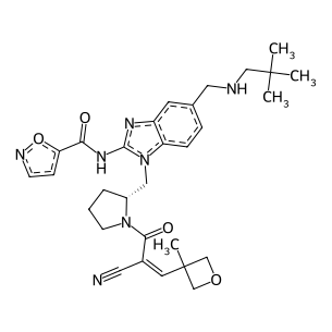 CC(C)(C)CNCc1ccc2c(c1)nc(NC(=O)c1ccno1)n2C[C@H]1CCCN1C(=O)/C(C#N)=C\C1(C)COC1